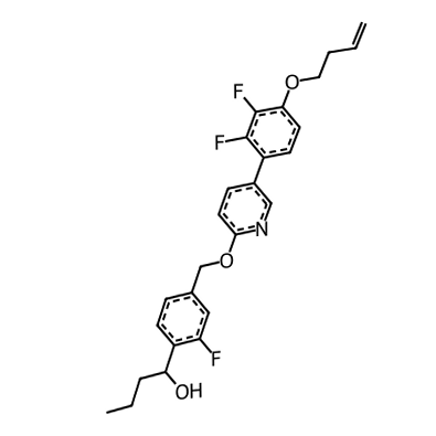 C=CCCOc1ccc(-c2ccc(OCc3ccc(C(O)CCC)c(F)c3)nc2)c(F)c1F